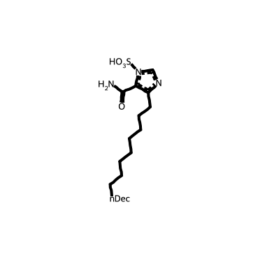 CCCCCCCCCCCCCCCCCCc1ncn(S(=O)(=O)O)c1C(N)=O